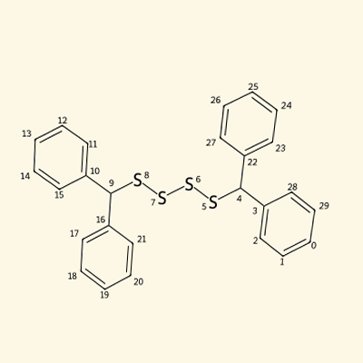 c1ccc(C(SSSSC(c2ccccc2)c2ccccc2)c2ccccc2)cc1